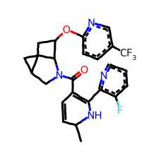 CC1C=CC(C(=O)N2CC3CC34CC(Oc3ccc(C(F)(F)F)cn3)C24)=C(c2ncccc2F)N1